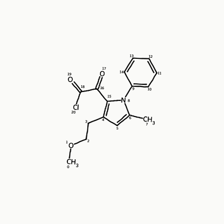 COCCc1cc(C)n(-c2ccccc2)c1C(=O)C(=O)Cl